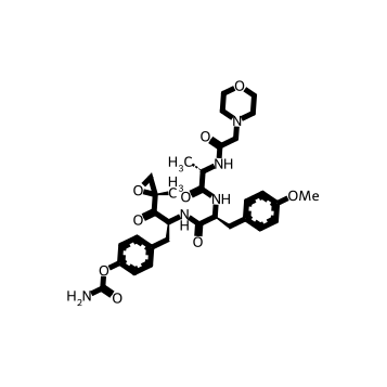 COc1ccc(C[C@H](NC(=O)[C@H](C)NC(=O)CN2CCOCC2)C(=O)N[C@@H](Cc2ccc(OC(N)=O)cc2)C(=O)[C@@]2(C)CO2)cc1